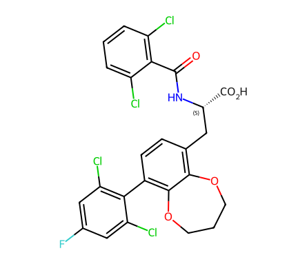 O=C(N[C@@H](Cc1ccc(-c2c(Cl)cc(F)cc2Cl)c2c1OCCCO2)C(=O)O)c1c(Cl)cccc1Cl